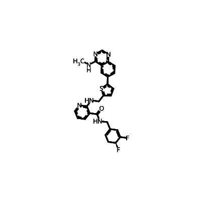 CNc1ncnc2ccc(-c3ccc(CNc4ncccc4C(=O)NCC4=CC[C@H](F)C(F)=C4)s3)cc12